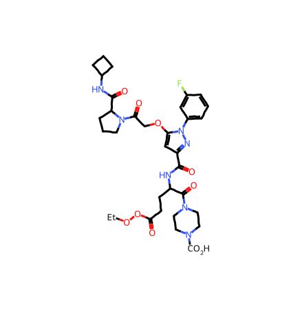 CCOOC(=O)CCC(NC(=O)c1cc(OCC(=O)N2CCCC2C(=O)NC2CCC2)n(-c2cccc(F)c2)n1)C(=O)N1CCN(C(=O)O)CC1